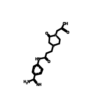 N=C(N)c1ccc(NC(=O)CCN2CCN(CC(=O)O)C(=O)C2)cc1